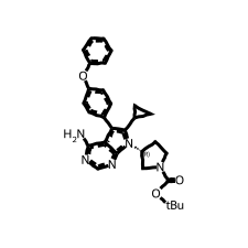 CC(C)(C)OC(=O)N1CC[C@@H](n2c(C3CC3)c(-c3ccc(Oc4ccccc4)cc3)c3c(N)ncnc32)C1